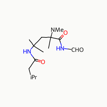 CNC(C)(CC(C)(C)NC(=O)CC(C)C)C(=O)NC=O